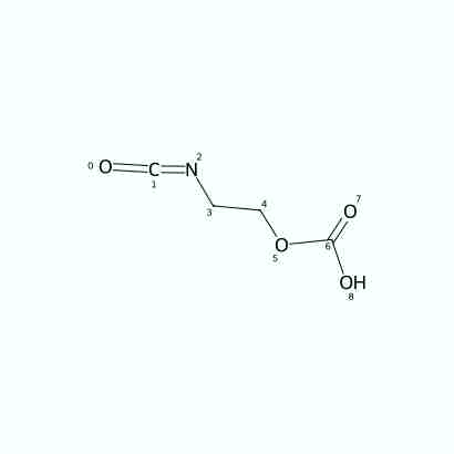 O=C=NCCOC(=O)O